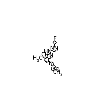 CC(C)c1ccc(N2CC(CS(C)(=O)=O)C2)c2cnc(Nc3ccnc(C4CC(F)C4)n3)cc12